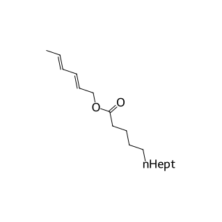 C/C=C/C=C/COC(=O)CCCCCCCCCCC